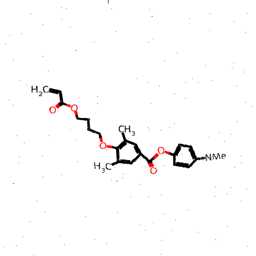 C=CC(=O)OCCCCOc1c(C)cc(C(=O)Oc2ccc(NC)cc2)cc1C